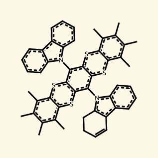 Cc1c(C)c(C)c2sc3c(-n4c5ccccc5c5ccccc54)c4sc5c(C)c(C)c(C)c(C)c5sc4c(-n4c5c(c6ccccc64)C=CCC5)c3sc2c1C